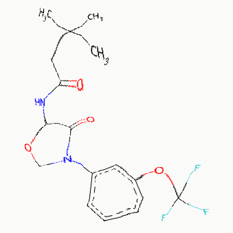 CC(C)(C)CC(=O)NC1OCN(c2cccc(OC(F)(F)F)c2)C1=O